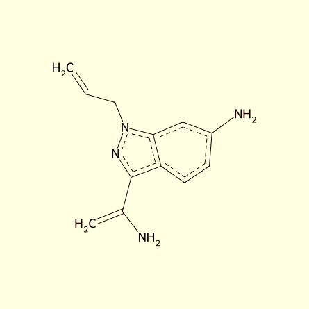 C=CCn1nc(C(=C)N)c2ccc(N)cc21